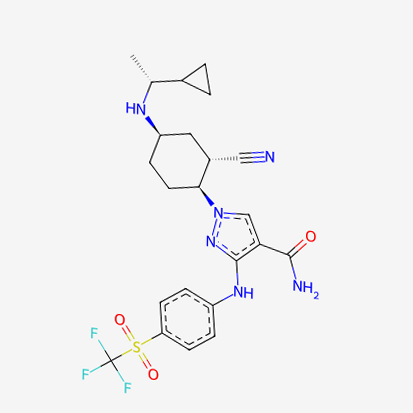 C[C@@H](N[C@@H]1CC[C@H](n2cc(C(N)=O)c(Nc3ccc(S(=O)(=O)C(F)(F)F)cc3)n2)[C@@H](C#N)C1)C1CC1